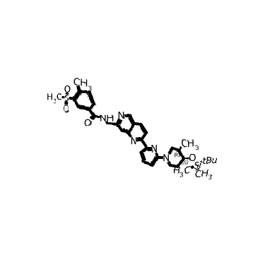 Cc1ccc(C(=O)NCc2cc3nc(-c4cccc(N5CC[C@H](O[Si](C)(C)C(C)(C)C)[C@H](C)C5)n4)ccc3cn2)cc1S(C)(=O)=O